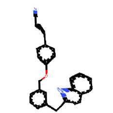 N#C/C=C/c1ccc(OCc2cccc(Cc3ccc4ccccc4n3)c2)cc1